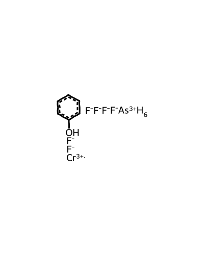 Oc1ccccc1.[AsH6+3].[Cr+3].[F-].[F-].[F-].[F-].[F-].[F-]